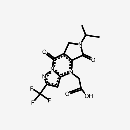 CC(C)N1Cc2c(n(CC(=O)O)c3cc(C(F)(F)F)nn3c2=O)C1=O